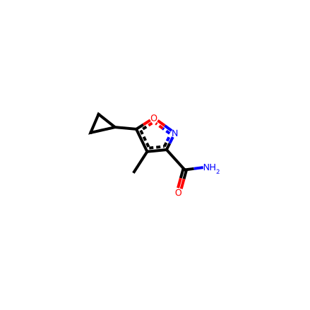 Cc1c(C(N)=O)noc1C1CC1